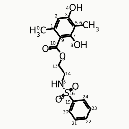 Cc1cc(O)c(C)c(O)c1C(=O)OCCNS(=O)(=O)c1ccccc1